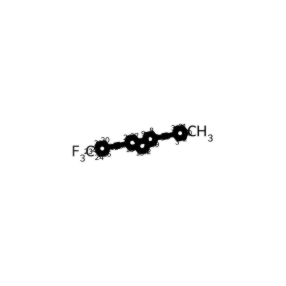 Cc1ccc(C#Cc2ccc3c(ccc4cc(C#Cc5ccc(C(F)(F)F)cc5)ccc43)c2)cc1